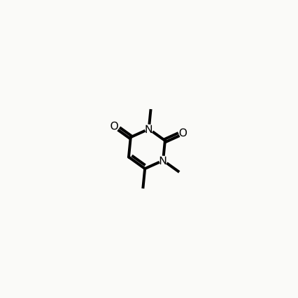 Cc1cc(=O)n(C)c(=O)n1C